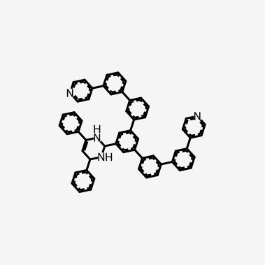 C1=C(c2ccccc2)NC(c2cc(-c3cccc(-c4cccc(-c5ccncc5)c4)c3)cc(-c3cccc(-c4cccc(-c5ccncc5)c4)c3)c2)NC1c1ccccc1